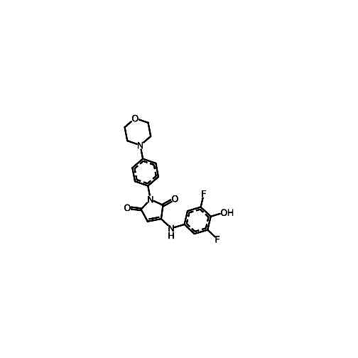 O=C1C=C(Nc2cc(F)c(O)c(F)c2)C(=O)N1c1ccc(N2CCOCC2)cc1